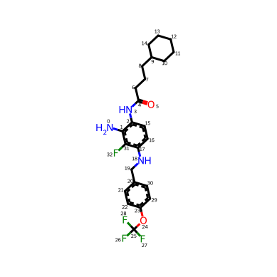 Nc1c(NC(=O)CCCC2CCCCC2)ccc(NCc2ccc(OC(F)(F)F)cc2)c1F